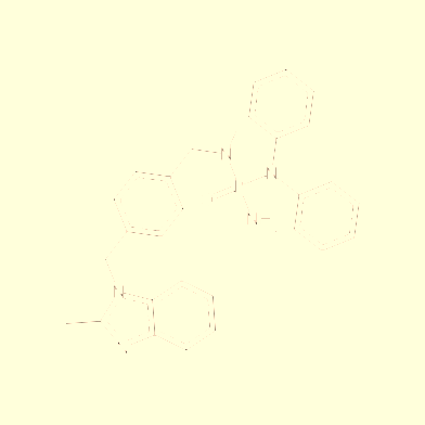 Cc1nc2ccccc2n1Cc1ccc(CN(C)P(N)(=O)N(c2ccccc2)c2ccccc2)cc1